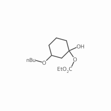 CCCCOC1CCCC(O)(OC(=O)OCC)C1